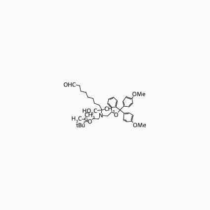 COc1ccc(C(OCCN(CCO[Si](C)(C)C(C)(C)C)C(C)(CCCCCCCC=O)C(=O)O)(c2ccccc2)c2ccc(OC)cc2)cc1